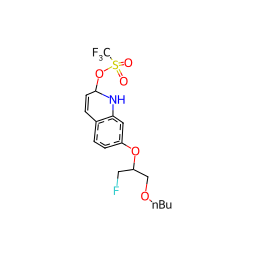 CCCCOCC(CF)Oc1ccc2c(c1)NC(OS(=O)(=O)C(F)(F)F)C=C2